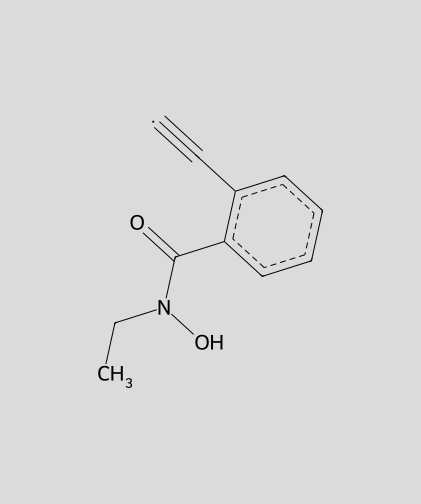 [C]#Cc1ccccc1C(=O)N(O)CC